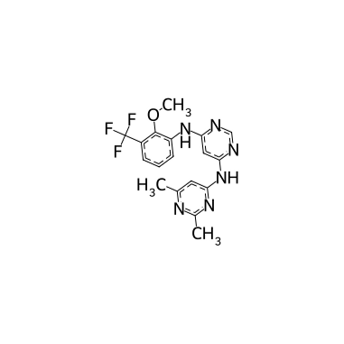 COc1c(Nc2cc(Nc3cc(C)nc(C)n3)ncn2)cccc1C(F)(F)F